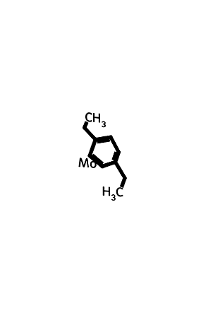 CCc1ccc(CC)cc1.[Mo]